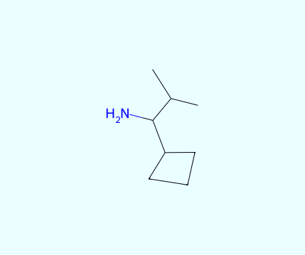 CC(C)C(N)C1CCC1